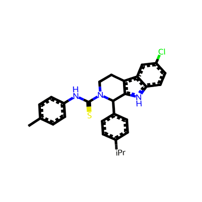 Cc1ccc(NC(=S)N2CCc3c([nH]c4ccc(Cl)cc34)C2c2ccc(C(C)C)cc2)cc1